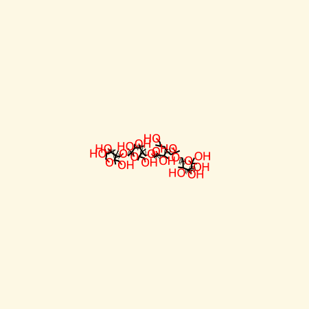 CC(O)(C[C@]1(C)CC(C)(CO)O[C@](C)(COC[C@]2(C)C(C)(CO)O[C@](C)(COC[C@]3(C)C(C)(CO)OCC(C)(O)[C@]3(C)O)C(C)(O)[C@]2(C)O)C1(C)O)OC[C@@]1(C)OC(C)(CO)[C@@](C)(O)[C@@](C)(O)C1(C)O